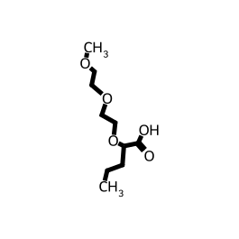 CCCC(OCCOCCOC)C(=O)O